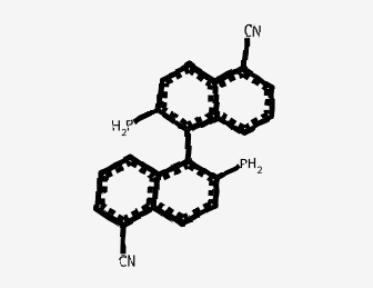 N#Cc1cccc2c(-c3c(P)ccc4c(C#N)cccc34)c(P)ccc12